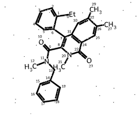 CCc1ccccc1-c1c(C(=O)N(C)Cc2ccccc2)n(C)c(=O)c2cc(C)c(C)cc12